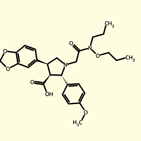 CCCON(CCC)C(=O)CN1C[C@H](c2ccc3c(c2)OCO3)[C@H](C(=O)O)[C@H]1c1ccc(OC)cc1